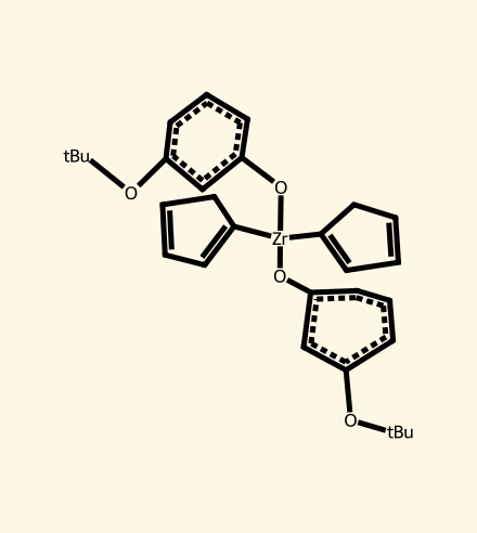 CC(C)(C)Oc1cccc([O][Zr]([O]c2cccc(OC(C)(C)C)c2)([C]2=CC=CC2)[C]2=CC=CC2)c1